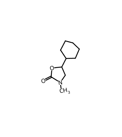 CN1CC(C2CCCCC2)OC1=O